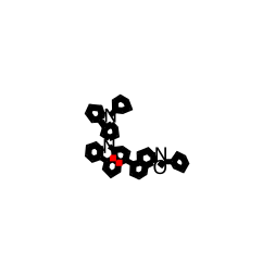 c1ccc(-c2nc3ccc4c(-c5ccc(N(c6ccc7c(c6)c6ccccc6n7-c6ccccc6)c6ccccc6-c6ccccc6)cc5)cccc4c3o2)cc1